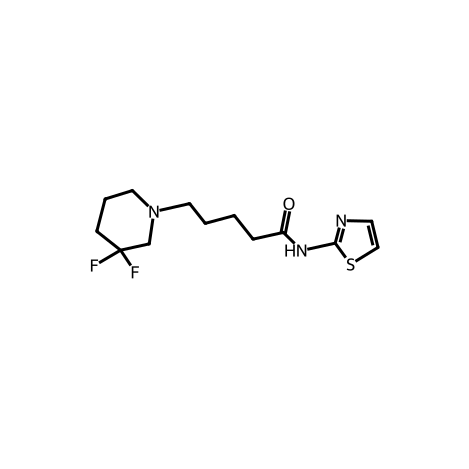 O=C(CCCCN1CCCC(F)(F)C1)Nc1nccs1